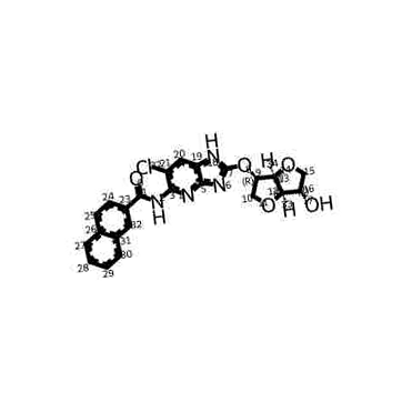 O=C(Nc1nc2nc(O[C@@H]3CO[C@H]4[C@@H]3OC[C@H]4O)[nH]c2cc1Cl)c1ccc2ccccc2c1